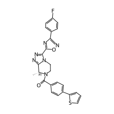 C[C@@H]1c2nnc(-c3nc(-c4ccc(F)cc4)no3)n2CCN1C(=O)c1ccc(-c2cccs2)cc1